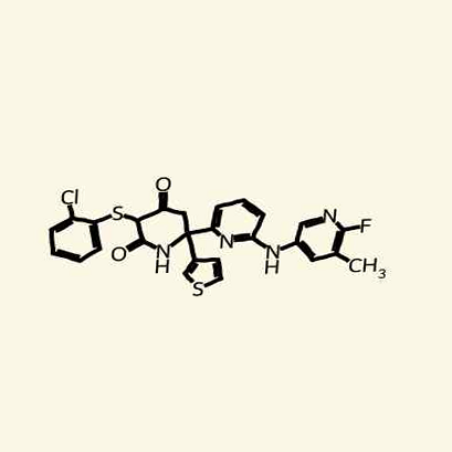 Cc1cc(Nc2cccc(C3(c4ccsc4)CC(=O)C(Sc4ccccc4Cl)C(=O)N3)n2)cnc1F